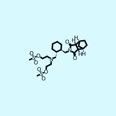 CS(=O)(=O)OCCN(CCOS(C)(=O)=O)C[C@@H]1CCCC[C@H]1CN1C(=O)[C@@H]2[C@H]3CC[C@H](C3)[C@@H]2C1=O